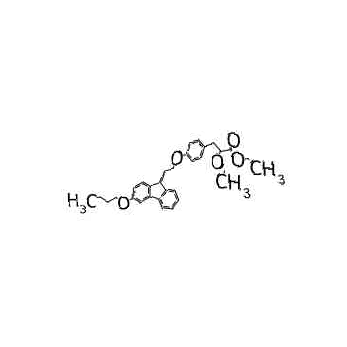 CCCCOc1ccc2c(c1)-c1ccccc1/C2=C\COc1ccc(CC(OCC)C(=O)OCC)cc1